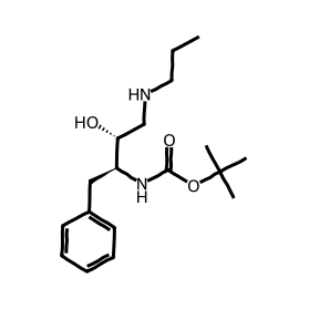 CCCNC[C@@H](O)[C@H](Cc1ccccc1)NC(=O)OC(C)(C)C